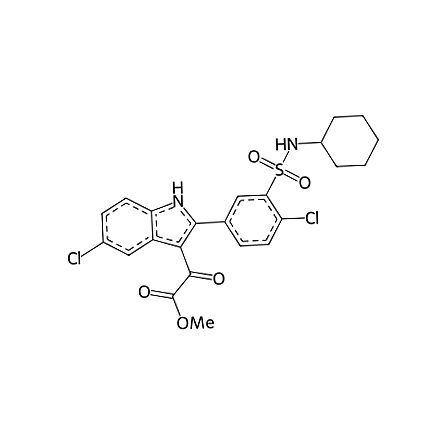 COC(=O)C(=O)c1c(-c2ccc(Cl)c(S(=O)(=O)NC3CCCCC3)c2)[nH]c2ccc(Cl)cc12